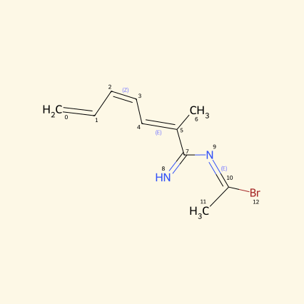 C=C/C=C\C=C(/C)C(=N)/N=C(\C)Br